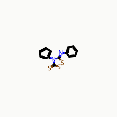 S=c1ssc(=Nc2ccccc2)n1-c1ccccc1